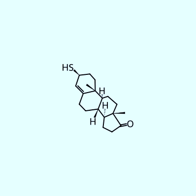 C[C@]12CC[C@H](S)C=C1CC[C@@H]1[C@@H]2CC[C@]2(C)C(=O)CC[C@@H]12